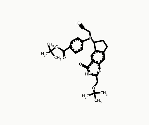 C#CCN(c1ccc(C(=O)OC(C)(C)C)cc1)C1CCc2cc3nc(COC(C)(C)C)[nH]c(=O)c3cc21